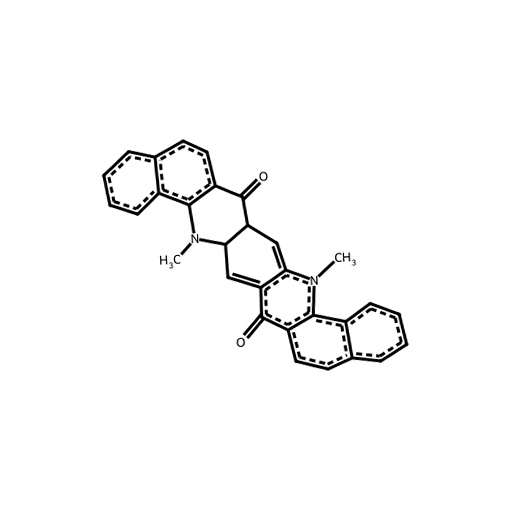 CN1c2c(ccc3ccccc23)C(=O)C2C=c3c(c(=O)c4ccc5ccccc5c4n3C)=CC21